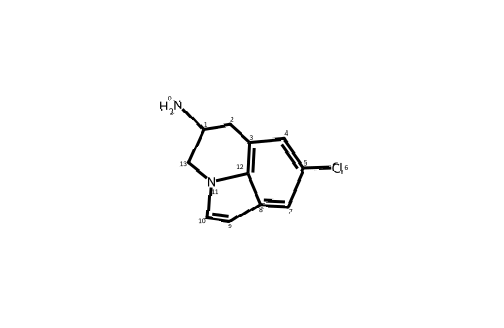 NC1Cc2cc(Cl)cc3ccn(c23)C1